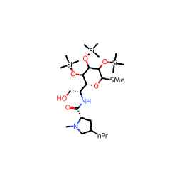 CCCC1C[C@@H](C(=O)N[C@H](CO)[C@H]2OC(SC)C(O[Si](C)(C)C)C(O[Si](C)(C)C)C2O[Si](C)(C)C)N(C)C1